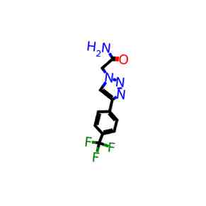 NC(=O)Cn1cc(-c2ccc(C(F)(F)F)cc2)nn1